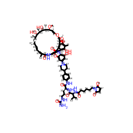 CO[C@H]1/C=C/O[C@@]2(C)Oc3c(C)c(O)c4c(=O)c(c5oc6cc(N7CCC(c8ccc(NC(=O)[C@H](CCCNC(N)=O)NC(=O)C(NC(=O)CCCCCN9C(=O)C=CC9=O)C(C)C)cc8)CC7)cc(O)c6nc-5c4c3C2=O)NC(=O)/C(C)=C\C=C\[C@H](C)C[C@@H](C)[C@@H](O)[C@@H](C)[C@H](O)[C@@H]1C